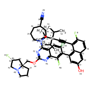 CC(C)[Si](C#Cc1c(F)ccc2cc(O)cc(-c3c(Cl)cc4c(N5CCCC(C#N)CC5)nc(OC[C@@]56CCCN5C[C@H](F)C6)nc4c3F)c12)(C(C)C)C(C)C